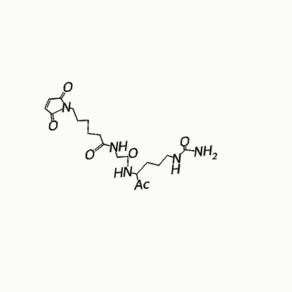 CC(=O)C(CCCNC(N)=O)NC(=O)CNC(=O)CCCCCN1C(=O)C=CC1=O